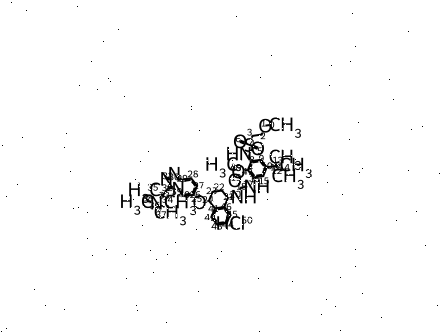 COCCS(=O)(=O)Nc1cc(C(C)(C)C)cc(NC(=O)N[C@H]2CC[C@@H](Oc3ccc4nnc(C(C)(C)N(C)C)n4c3)c3ccccc32)c1OC.Cl